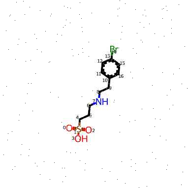 O=S(=O)(O)CCCNCCc1ccc(Br)cc1